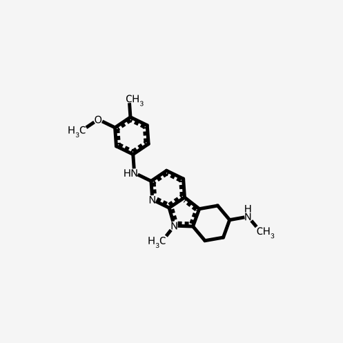 CNC1CCc2c(c3ccc(Nc4ccc(C)c(OC)c4)nc3n2C)C1